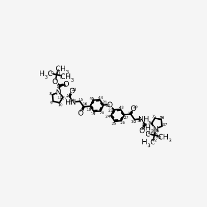 CC(C)(C)OC(=O)N1CCC[C@H]1C(=O)NCC(=O)c1ccc(Oc2cccc(C(=O)CNC(=O)[C@@H]3CCCN3C(C)(C)C)c2)cc1